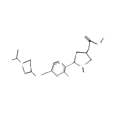 COC(=O)C1CC(c2ncc(OC3CN(C(C)C)C3)cc2F)N(C)C1